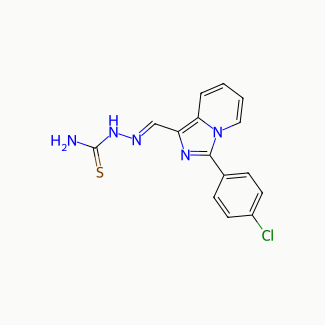 NC(=S)N/N=C/c1nc(-c2ccc(Cl)cc2)n2ccccc12